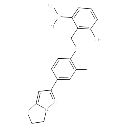 Cc1cc(-c2cc3n(n2)CCO3)ccc1OCc1c(C)cccc1N(C)N